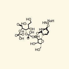 O=C[C@H](OP(=O)(O)O)[C@@H](OP(=O)(O)O)[C@H](O)[C@H](O)CO.O=c1ccn([C@@H]2O[C@H](CO)[C@@H](O)[C@H]2O)c(=O)[nH]1.[NaH].[NaH]